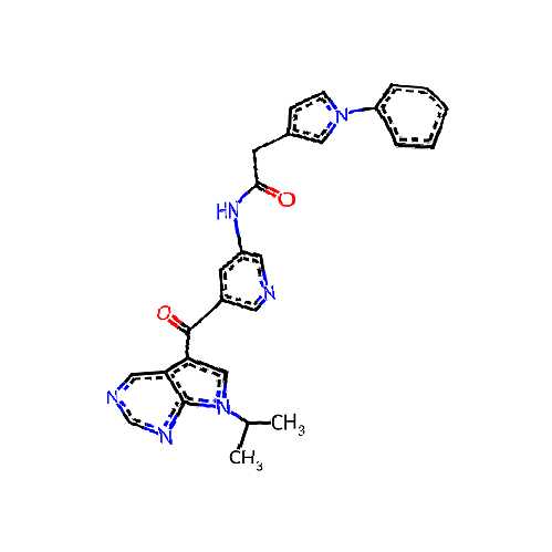 CC(C)n1cc(C(=O)c2cncc(NC(=O)Cc3ccn(-c4ccccc4)c3)c2)c2cncnc21